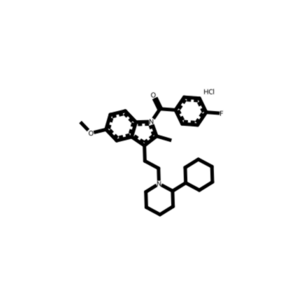 COc1ccc2c(c1)c(CCN1CCCCC1C1CCCCC1)c(C)n2C(=O)c1ccc(F)cc1.Cl